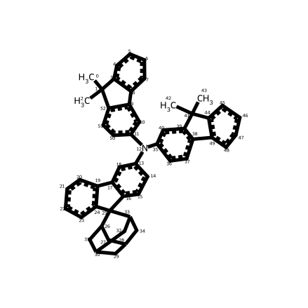 CC1(C)c2ccccc2-c2cc(N(c3ccc4c(c3)-c3ccccc3C43C4CC5CC(C4)CC3C5)c3ccc4c(c3)C(C)(C)c3ccccc3-4)ccc21